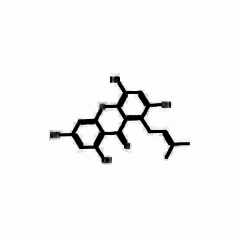 CC(C)=CCc1c(O)cc(O)c2oc3cc(O)cc(O)c3c(=O)c12